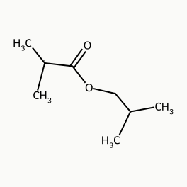 C[C](C)C(=O)OCC(C)C